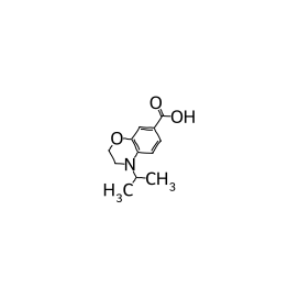 CC(C)N1CCOc2cc(C(=O)O)ccc21